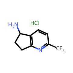 Cl.NC1CCc2nc(C(F)(F)F)ccc21